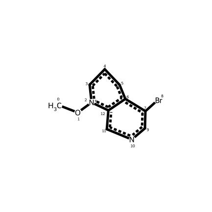 CO[n+]1cccc2c(Br)cncc21